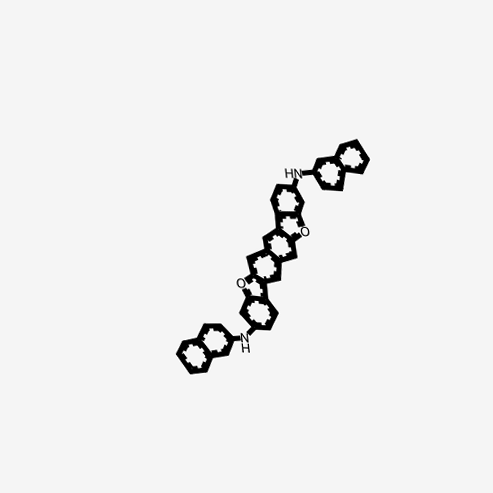 c1ccc2cc(Nc3ccc4c(c3)oc3cc5cc6c(cc5cc34)oc3cc(Nc4ccc5ccccc5c4)ccc36)ccc2c1